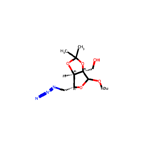 CCCCOC1O[C@H](CN=[N+]=[N-])[C@H]2OC(C)(C)O[C@@]12CO